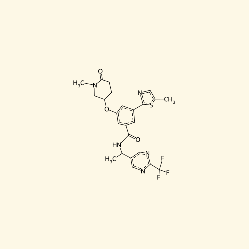 Cc1cnc(-c2cc(OC3CCC(=O)N(C)C3)cc(C(=O)NC(C)c3cnc(C(F)(F)F)nc3)c2)s1